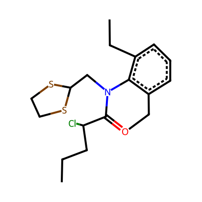 CCCC(Cl)C(=O)N(CC1SCCS1)c1c(CC)cccc1CC